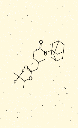 CC(OC(=O)CC1CCC(=O)N(C23CC4CC(CC(C4)C2)C3)C1)C(C)(F)F